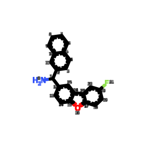 NC(c1ccc2ccccc2c1)c1ccc2oc3ccc(F)cc3c2c1